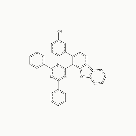 N#Cc1cccc(-c2ccc3c(oc4ccccc43)c2-c2nc(-c3ccccc3)nc(-c3ccccc3)n2)c1